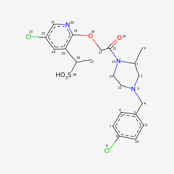 CC1CN(Cc2ccc(Cl)cc2)CCN1C(=O)COc1ncc(Cl)cc1C(C)S(=O)(=O)O